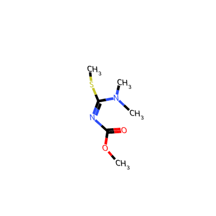 COC(=O)/N=C(/SC)N(C)C